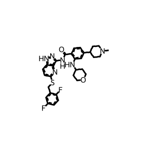 CN1CCC(c2ccc(C(=O)Nc3n[nH]c4ccc(SCc5cc(F)ccc5F)nc34)c(NC3CCOCC3)c2)CC1